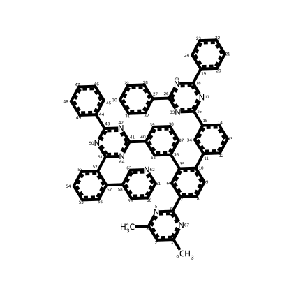 Cc1cc(C)nc(-c2ccc(-c3cccc(-c4nc(-c5ccccc5)nc(-c5ccccc5)n4)c3)c(-c3cccc(-c4nc(-c5ccccc5)nc(-c5ccccc5-c5cccnc5)n4)c3)c2)n1